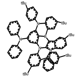 CC(C)(C)c1ccc(-c2cc(C(C)(C)C)ccc2N2c3cc(N(c4ccccc4)c4ccccc4)cc4c3B(c3cc(C(C)(C)C)ccc3N4c3ccc(C(C)(C)C)cc3)c3c2n(-c2ccccc2)c2ccc(C(C)(C)C)cc32)cc1